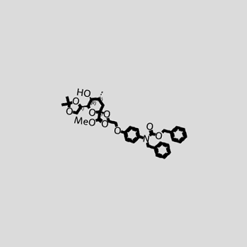 COC(=O)[C@@]1(OCCOc2ccc(N(Cc3ccccc3)C(=O)OCc3ccccc3)cc2)C[C@@H](C)[C@@H](O)C([C@H]2COC(C)(C)O2)O1